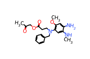 CNc1cc(N(CCC(=O)OCC(C)=O)Cc2ccccc2)c(OC)cc1N